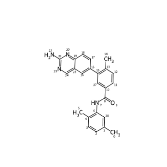 Cc1ccc(C)c(NC(=O)c2ccc(C)c(-c3ccc4nc(N)ncc4c3)c2)c1